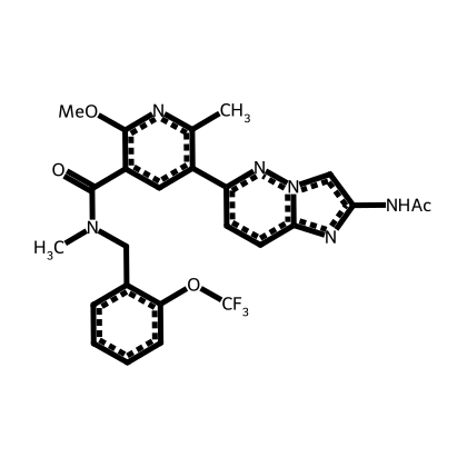 COc1nc(C)c(-c2ccc3nc(NC(C)=O)cn3n2)cc1C(=O)N(C)Cc1ccccc1OC(F)(F)F